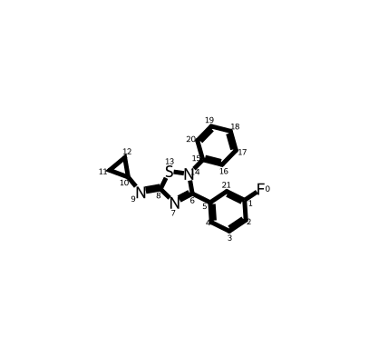 Fc1cccc(-c2nc(=NC3CC3)sn2-c2ccccc2)c1